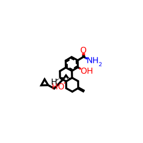 C=C1CC[C@@]2(O)[C@H]3Cc4ccc(C(N)=O)c(O)c4[C@@]2(CCC3CC2CC2)C1